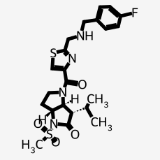 CC(C)[C@@H]1C(=O)N(S(C)(=O)=O)[C@@H]2CCN(C(=O)c3csc(CNCc4ccc(F)cc4)n3)[C@H]21